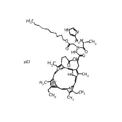 CCCCCCCCCCOC(=O)[C@H](Cc1c[nH]cn1)N(NC(=O)CCc1c(C)c2cc3nc(cc4[nH]c(cc5nc(cc1[nH]2)C(CCC(=O)O)=C5C)c(C)c4CC)C(C)=C3CC)C(=O)[C@H](C)N.Cl